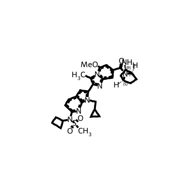 COc1cc(C(=O)N2[C@H]3CC[C@@H]2[C@H](N)C3)cc2nc(-c3cc4ccc(N(C5CCC5)S(C)(=O)=O)nc4n3CC3CC3)c(C)n12